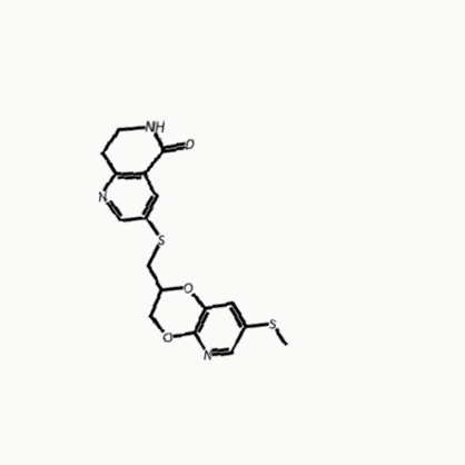 CSc1cnc2c(c1)OC(CSc1cnc3c(c1)C(=O)NCC3)CO2